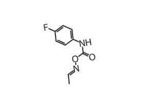 CC=NOC(=O)Nc1ccc(F)cc1